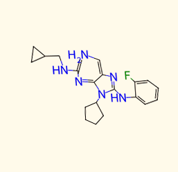 C=C(/N=C1\C(=C/N)N=C(Nc2ccccc2F)N1C1CCCC1)NCC1CC1